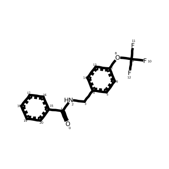 O=C(NCc1ccc(OC(F)(F)F)cc1)c1ccccc1